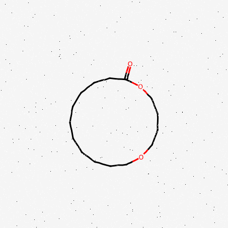 O=C1CCCCCCCCCCOCCCCO1